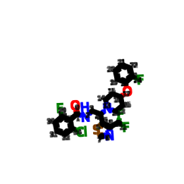 O=C(NCC(c1scnc1C(F)F)N1CCC(Oc2ccccc2F)CC1)c1c(F)cccc1Cl